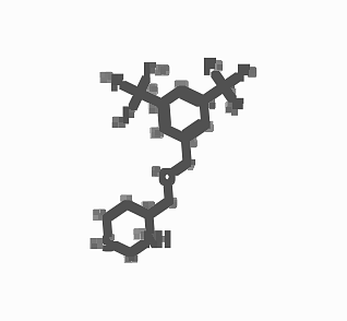 FC(F)(F)c1cc(COCC2CCSCN2)cc(C(F)(F)F)c1